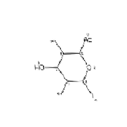 CC(=O)C1OC(I)C(C)C(O)C1C